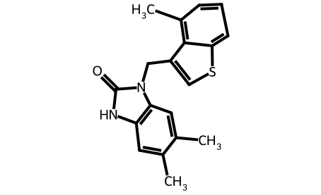 Cc1cc2[nH]c(=O)n(Cc3csc4cccc(C)c34)c2cc1C